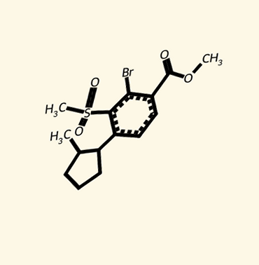 COC(=O)c1ccc(C2CCCC2C)c(S(C)(=O)=O)c1Br